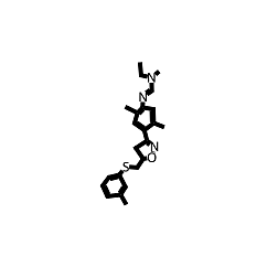 CCN(C)C=Nc1cc(C)c(C2=NOC(CSc3cccc(C)c3)C2)cc1C